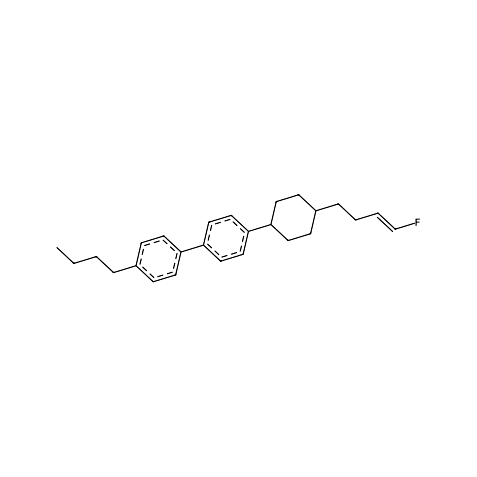 CCCCc1ccc(-c2ccc(C3CCC(CC/C=C/F)CC3)cc2)cc1